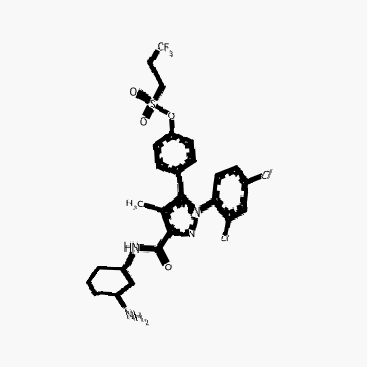 Cc1c(C(=O)NC2CCCC(N)C2)nn(-c2ccc(Cl)cc2Cl)c1-c1ccc(OS(=O)(=O)CCC(F)(F)F)cc1